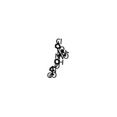 CCn1c(=O)[nH]/c(=N\c2ccc(Oc3cccc(C(=O)OC)n3)cc2)n(Cc2ccc(Cl)cc2)c1=O